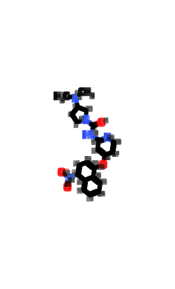 CN(C)C1CCN(C(=O)Nc2cc(Oc3ccc([N+](=O)[O-])c4ccccc34)ccn2)C1